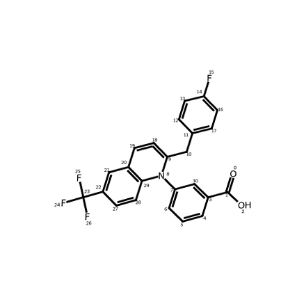 O=C(O)c1cccc(N2C(Cc3ccc(F)cc3)=C=Cc3cc(C(F)(F)F)ccc32)c1